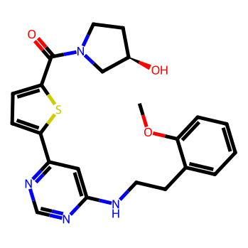 COc1ccccc1CCNc1cc(-c2ccc(C(=O)N3CC[C@@H](O)C3)s2)ncn1